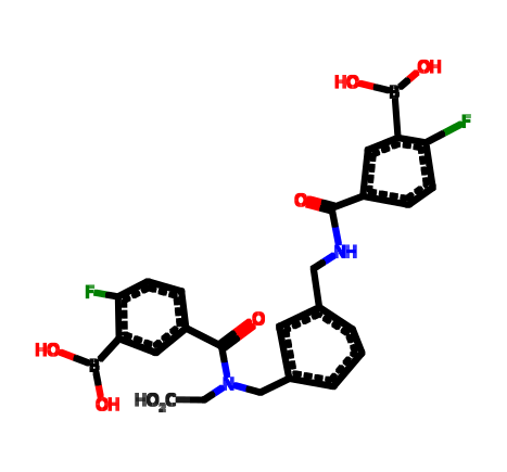 O=C(O)CN(Cc1cccc(CNC(=O)c2ccc(F)c(B(O)O)c2)c1)C(=O)c1ccc(F)c(B(O)O)c1